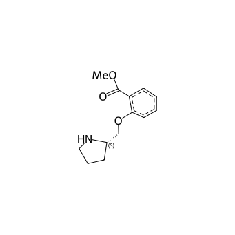 COC(=O)c1ccccc1OC[C@@H]1CCCN1